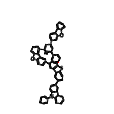 c1ccc(-c2cc(-c3ccc4c(c3)oc3ccccc34)cc(-c3cccc4oc5ccc(-c6ccc7sc8ccc(-c9ccc%10c(c9)c9ccccc9n%10-c9ccccc9)cc8c7c6)cc5c34)n2)cc1